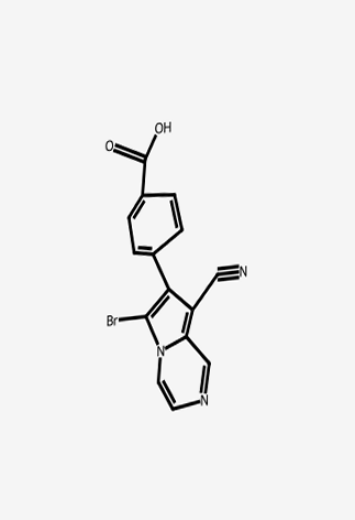 N#Cc1c(-c2ccc(C(=O)O)cc2)c(Br)n2ccncc12